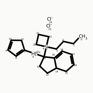 CCCC[Si]1([C]2([Hf+2][C]3=CC=CC3)CCC3CC=CC=C32)CCC1.[Cl-].[Cl-]